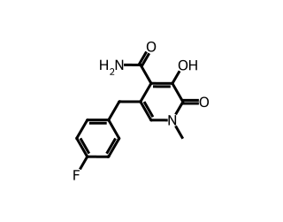 Cn1cc(Cc2ccc(F)cc2)c(C(N)=O)c(O)c1=O